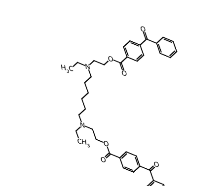 CCN(CCCCCCN(CC)CCOC(=O)c1ccc(C(=O)c2ccccc2)cc1)CCOC(=O)c1ccc(C(=O)c2ccccc2)cc1